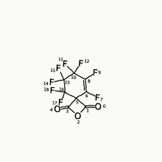 O=C1OC(=O)C12C(F)=C(F)C(F)(F)C(F)(F)C2(F)F